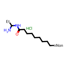 CCCCCCCCCCCCCCCCCC(=O)NC(N)CC.Cl